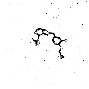 CC(C)C(=O)Nc1nccc2nn(Cc3cnc(OCC4CC4)c(Cl)c3)cc12